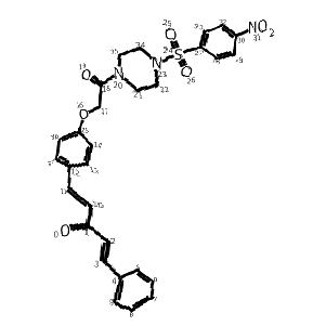 O=C(C=Cc1ccccc1)C=Cc1ccc(OCC(=O)N2CCN(S(=O)(=O)c3ccc([N+](=O)[O-])cc3)CC2)cc1